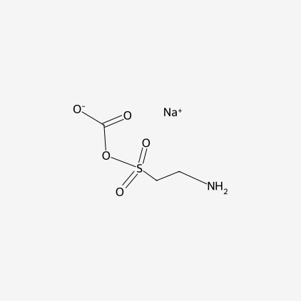 NCCS(=O)(=O)OC(=O)[O-].[Na+]